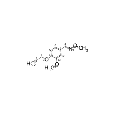 C#CCOc1ccc(C=NOC)cc1OC